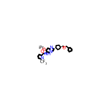 CC(C)Oc1cc2nc([C@H]3CC[C@H](COCc4ccccc4)CC3)cn2cc1NC(=O)c1cccc(C(F)(F)F)n1